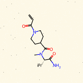 C=CC(=O)N1CCC(C(=O)N(C)[C@H](C(N)=O)C(C)C)CC1